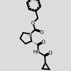 O=C(NC(=O)[C@@H]1CCCN1C(=O)OCc1ccccc1)C1CC1